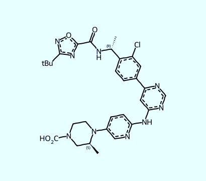 C[C@@H](NC(=O)c1nc(C(C)(C)C)no1)c1ccc(-c2cc(Nc3ccc(N4CCN(C(=O)O)C[C@@H]4C)cn3)ncn2)cc1Cl